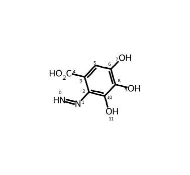 N=Nc1c(C(=O)O)cc(O)c(O)c1O